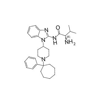 CC(C)[C@@H](N)C(=O)Nc1nc2ccccc2n1C1CCN(C2(c3ccccc3)CCCCCC2)CC1